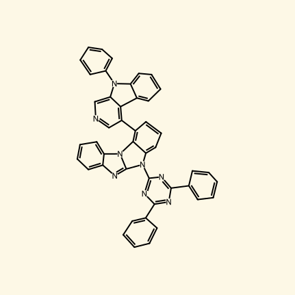 c1ccc(-c2nc(-c3ccccc3)nc(-n3c4cccc(-c5cncc6c5c5ccccc5n6-c5ccccc5)c4n4c5ccccc5nc34)n2)cc1